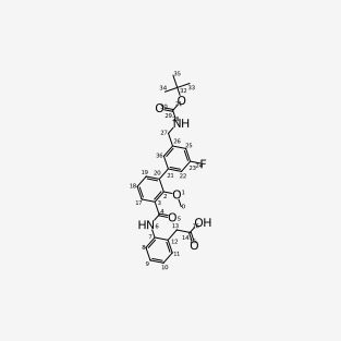 COc1c(C(=O)Nc2ccccc2CC(=O)O)cccc1-c1cc(F)cc(CNC(=O)OC(C)(C)C)c1